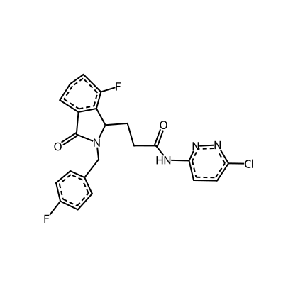 O=C(CCC1c2c(F)cccc2C(=O)N1Cc1ccc(F)cc1)Nc1ccc(Cl)nn1